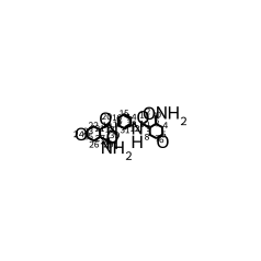 NC(=O)C1CC2OC2CC1C(=O)Nc1cccc(NC(=O)C2CC3OC3CC2C(N)=O)c1